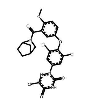 COc1ccc(Oc2c(Cl)cc(-n3nc(Cl)c(=O)[nH]c3=O)cc2Cl)cc1C(=O)N1CC2CCC1C2